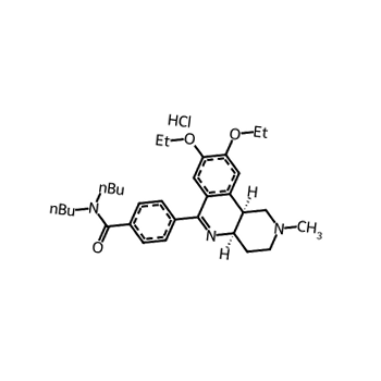 CCCCN(CCCC)C(=O)c1ccc(C2=N[C@@H]3CCN(C)C[C@@H]3c3cc(OCC)c(OCC)cc32)cc1.Cl